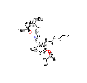 C=CCCCC[C@@H]1[C@@H](/C=C/C(C[C@@H](C)CCCC)O[Si](C)(C)C(C)(C)C)[C@H](C)C[C@@H]1OC(=C)C=C